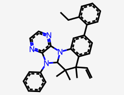 C=CC1(C)c2ccc(-c3ccccc3CC)cc2N2c3nccnc3N(c3ccccc3)C2C1(C)C